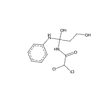 O=C(NC(O)(CCO)Nc1ccccc1)C(Cl)Cl